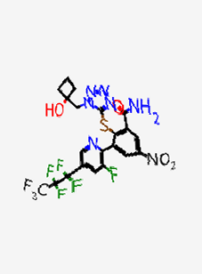 NC(=O)c1cc([N+](=O)[O-])cc(-c2ncc(C(F)(F)C(F)(F)C(F)(F)F)cc2F)c1Sc1nnnn1CC1(O)CCC1